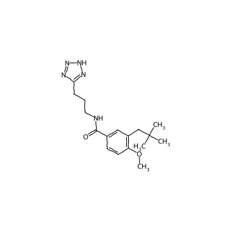 COc1ccc(C(=O)NCCCc2nn[nH]n2)cc1CC(C)(C)C